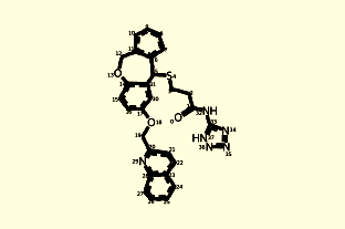 O=C(CCSC1c2ccccc2COc2ccc(OCc3ccc4ccccc4n3)cc21)Nc1nnn[nH]1